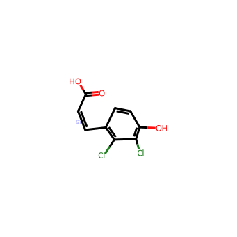 O=C(O)/C=C\c1ccc(O)c(Cl)c1Cl